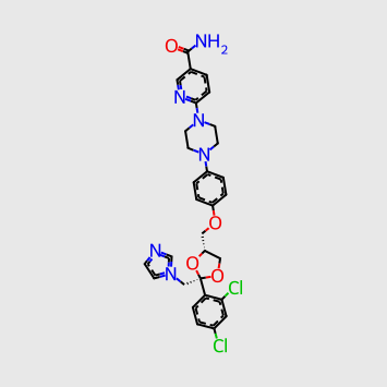 NC(=O)c1ccc(N2CCN(c3ccc(OC[C@@H]4CO[C@@](Cn5ccnc5)(c5ccc(Cl)cc5Cl)O4)cc3)CC2)nc1